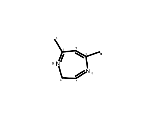 CC1=CC(C)=NCC=N1